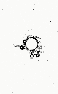 CC[C@H](C)[C@H]1NC(=O)C(NC(=O)[C@H](CC(C)C)N(C)C[C@H]2CCCN2C(=O)[C@H](C)O)[C@@H](C)OC(=O)[C@H](Cc2ccc(OC)cc2)N(C)C(=O)[C@@H]2CCCN2C(=O)[C@@H](CC(C)C)NC(=O)[C@@H](C)C(=O)[C@H](C(C)C)OC(=O)C[C@H]1O